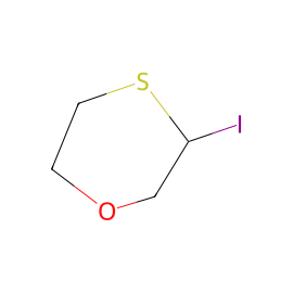 IC1COCCS1